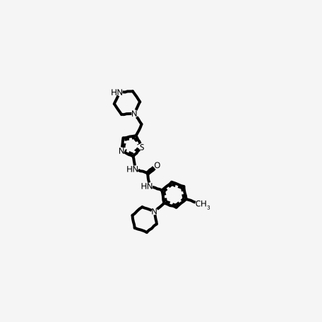 Cc1ccc(NC(=O)Nc2ncc(CN3CCNCC3)s2)c(N2CCCCC2)c1